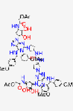 COc1ccc(C(Nc2nc(N3CCC(NC(=O)N[C@H]4CCN(c5nc(NC(c6ccc(OC)cc6)c6ccc(OC)cc6)c6ncn([C@@H]7C[C@@H](NC(=O)COC(C)=O)C(O)[C@@H]7O)c6n5)C4)C3)nc3c2ncn3C2CC(NC(=O)COC(C)=O)C(O)C2O)c2ccc(OC)cc2)cc1